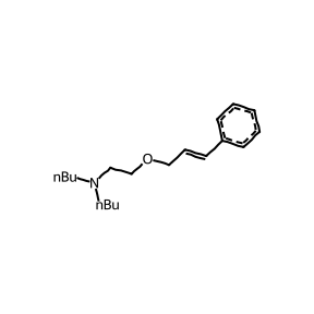 CCCCN(CCCC)CCOCC=Cc1ccccc1